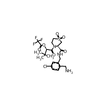 CC(C)(C)[C@@H](OC(=O)C(F)(F)F)C(=O)N1CCS(=O)(=O)C[C@H]1C(=O)NCc1cc(Cl)ccc1CN